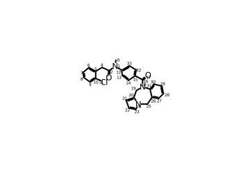 CN(C(=O)Cc1ccccc1Cl)c1ccc(C(=O)N2Cc3cccn3Cc3ccccc32)cc1